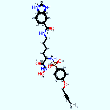 CC#CCOc1ccc(S(=O)(=O)NC(CCCCNC(=O)c2ccc3[nH]cnc3c2)C(=O)NO)cc1